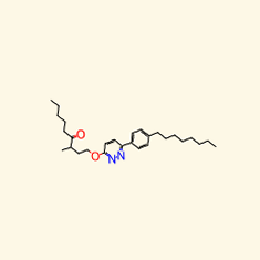 CCCCCCCCc1ccc(-c2ccc(OCCC(C)C(=O)CCCCC)nn2)cc1